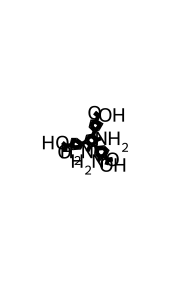 Nc1cc(-c2c(N)c(-c3ccc(C(=O)O)cc3)cc(-c3ccc(C(=O)O)cc3)c2N)ccc1C(=O)O